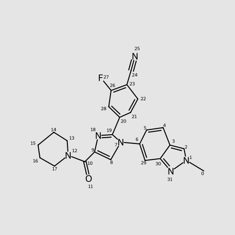 Cn1cc2ccc(-n3cc(C(=O)N4CCCCC4)nc3-c3ccc(C#N)c(F)c3)cc2n1